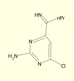 C[CH]CC(=N)c1cc(Cl)nc(N)n1